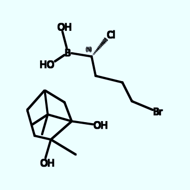 CC1(O)CCC2CC1(O)C2(C)C.OB(O)[C@H](Cl)CCCBr